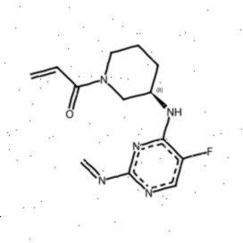 C=CC(=O)N1CCC[C@@H](Nc2nc(N=C)ncc2F)C1